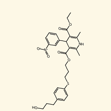 CCOC(=O)C1=C(C)NC(C)=C(C(=O)OCCCSc2ccc(CCCO)cc2)C1c1cccc([N+](=O)[O-])c1